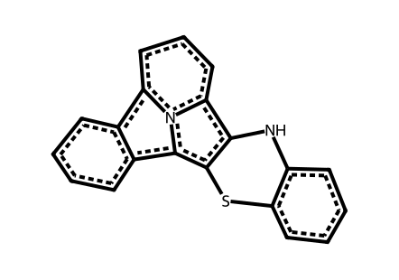 c1ccc2c(c1)Nc1c(c3c4ccccc4c4cccc1n43)S2